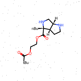 [CH2]CCC[C@@]1(C(=O)OCCOC(=O)C(C)(C)C)NC[C@@H]2NCC[C@@H]21